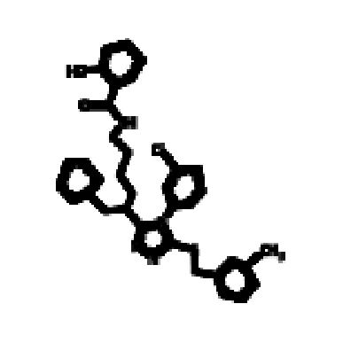 Cc1cccc(CSc2nnc(C(CCCCNC(=O)c3ccccc3O)Cc3ccccc3)n2-c2cccc(Cl)c2)c1